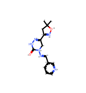 CC1(C)CC(C2=NNC(=O)N(N=Cc3cccnc3)C2)=NO1